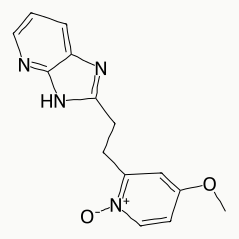 COc1cc[n+]([O-])c(CCc2nc3cccnc3[nH]2)c1